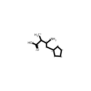 CC(C(=O)O)C(N)CC1CCCC1